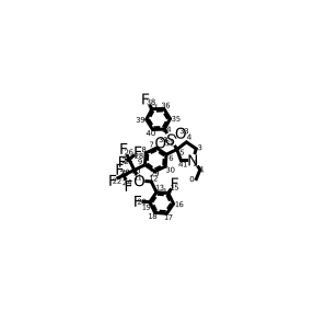 CCN1CCC(c2ccc(C(OCc3c(F)cccc3F)(C(F)(F)F)C(F)(F)F)cc2)(S(=O)(=O)c2ccc(F)cc2)C1